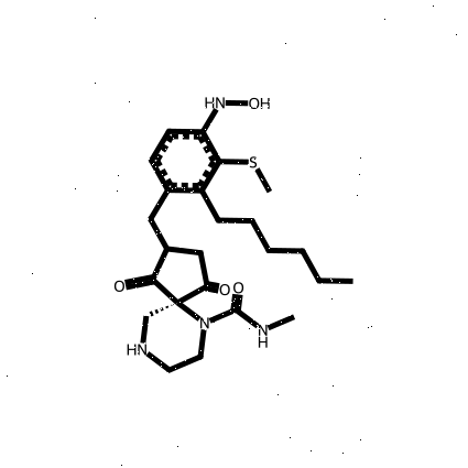 CCCCCCc1c(CC2CC(=O)[C@]3(CNCCN3C(=O)NC)C2=O)ccc(NO)c1SC